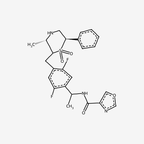 CC(NC(=O)c1cocn1)c1cc(F)c(CC2[C@H](C)NC[C@@H](c3ccccc3)S2(=O)=O)cc1F